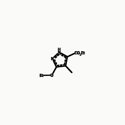 CCOC(=O)c1[nH]nc(OCC)c1C